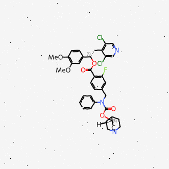 COc1ccc([C@H](Cc2c(Cl)cncc2Cl)OC(=O)c2ccc(CN(C(=O)O[C@H]3CN4CCC3CC4)c3ccccc3)cc2F)cc1OC